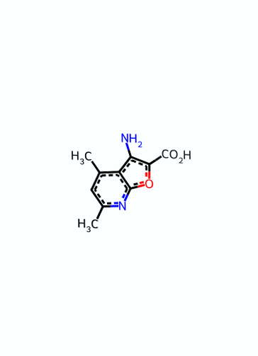 Cc1cc(C)c2c(N)c(C(=O)O)oc2n1